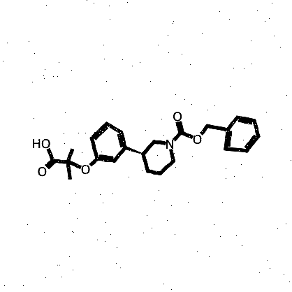 CC(C)(Oc1cccc([C@@H]2CCCN(C(=O)OCc3ccccc3)C2)c1)C(=O)O